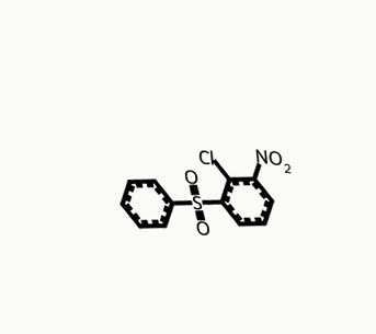 O=[N+]([O-])c1cccc(S(=O)(=O)c2ccccc2)c1Cl